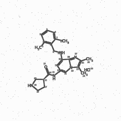 Cc1cccc(C)c1CNc1cc(NC(=O)[C@H]2CCNC2)cn2c(C)c(C)nc12.Cl